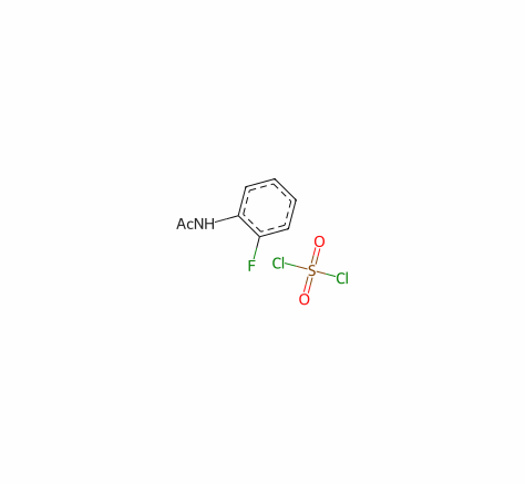 CC(=O)Nc1ccccc1F.O=S(=O)(Cl)Cl